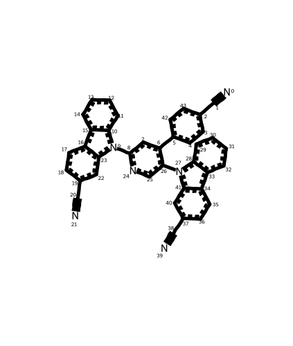 N#Cc1ccc(-c2cc(-n3c4ccccc4c4ccc(C#N)cc43)ncc2-n2c3ccccc3c3ccc(C#N)cc32)cc1